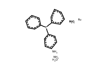 N.N.N.O.O.[Ru].c1ccc(P(c2ccccc2)c2ccccc2)cc1